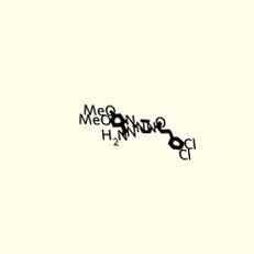 COc1cc2nc(N3CCN(C(=O)C=Cc4ccc(Cl)c(Cl)c4)CC3)nc(N)c2cc1OC